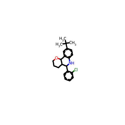 CC(C)(C)c1ccc2c(c1)C1OCCCC1C(c1ccccc1Cl)N2